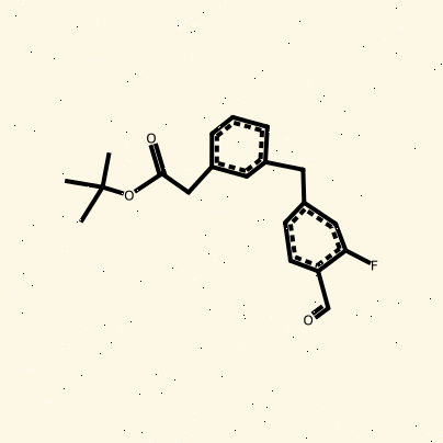 CC(C)(C)OC(=O)Cc1cccc(Cc2ccc(C=O)c(F)c2)c1